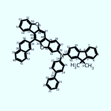 CC1(C)c2ccccc2-c2ccc(N(c3ccc(-c4ccccc4)cc3)c3ccc4c(c3)oc3c(-c5ccc6ccccc6c5)c5c(cc34)oc3ccccc35)cc21